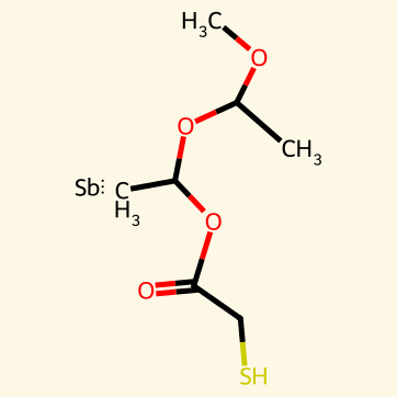 COC(C)OC(C)OC(=O)CS.[Sb]